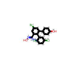 N/C(=N\O)c1cc(Br)cc(-c2ccc(O)cc2)c1-c1cc(Cl)ccc1Cl